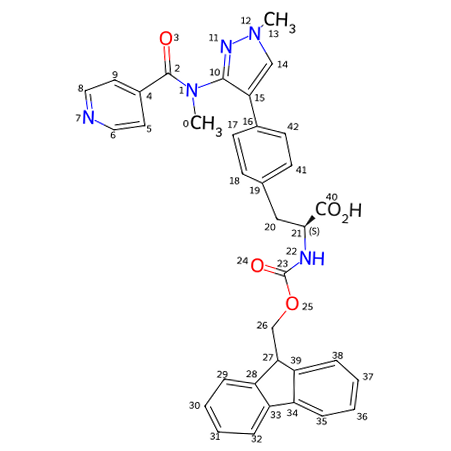 CN(C(=O)c1ccncc1)c1nn(C)cc1-c1ccc(C[C@H](NC(=O)OCC2c3ccccc3-c3ccccc32)C(=O)O)cc1